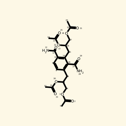 CC(=O)OCC(Cc1ccc(C(N)=O)c(CC(COC(C)=O)OC(C)=O)c1C(N)=O)OC(C)=O